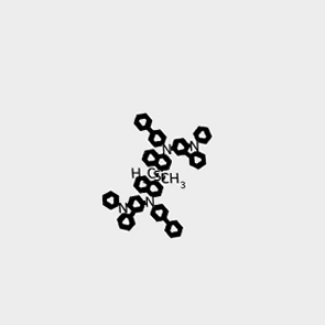 C[Si](C)(c1ccc(N(c2ccc(-c3ccccc3)cc2)c2ccc3c(c2)c2ccccc2n3-c2ccccc2)c2ccccc12)c1ccc(N(c2ccc(-c3ccccc3)cc2)c2ccc3c(c2)c2ccccc2n3-c2ccccc2)c2ccccc12